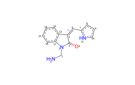 NCN1C(=O)/C(=C\c2ccc[nH]2)c2ccccc21